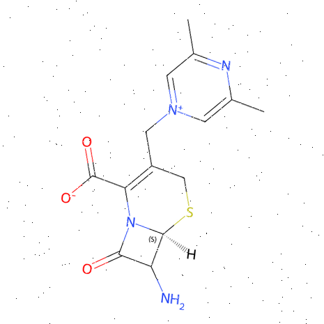 Cc1c[n+](CC2=C(C(=O)[O-])N3C(=O)C(N)[C@@H]3SC2)cc(C)n1